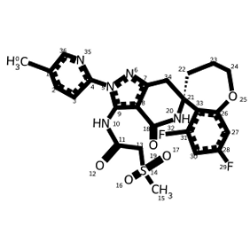 Cc1ccc(-n2nc3c(c2NC(=O)CS(C)(=O)=O)C(=O)N[C@@]2(CCCOc4cc(F)cc(F)c42)C3)nc1